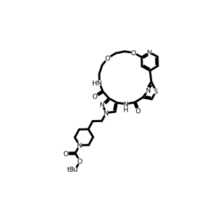 CC(C)(C)OC(=O)N1CCC(CCn2cc3c(n2)C(=O)NCCOCCOc2cc(ccn2)-c2nc(cs2)C(=O)N3)CC1